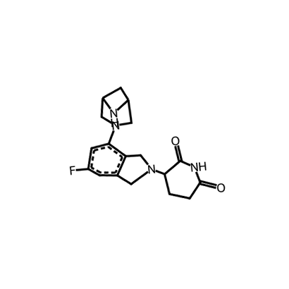 O=C1CCC(N2Cc3cc(F)cc(N4CC5CC(C4)N5)c3C2)C(=O)N1